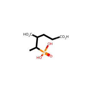 CC(C(CCC(=O)O)C(=O)O)P(=O)(O)O